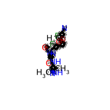 Cc1n[nH]c2c(C)cc(C(=O)Nc3ccc4c(c3)nc(Cc3ccc(-c5cccc6c5OC(C)(c5ccc(C#N)cc5F)O6)cc3F)n4CC3CCO3)cc12